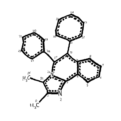 Cc1nc2c3ccccc3c(-c3ccccc3)c(-c3ccccc3)n2c1C